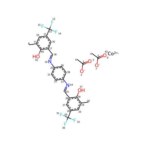 CC(=O)[O-].CC(=O)[O-].Cc1cc(C(F)(F)F)cc(C=Nc2ccc(N=Cc3cc(C(F)(F)F)cc(C)c3O)cc2)c1O.[Co+2]